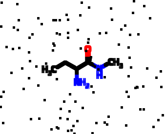 CCC(N)C(=O)NC